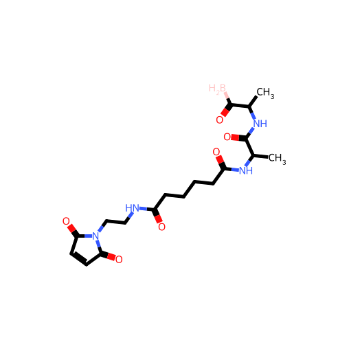 BC(=O)C(C)NC(=O)C(C)NC(=O)CCCCC(=O)NCCN1C(=O)C=CC1=O